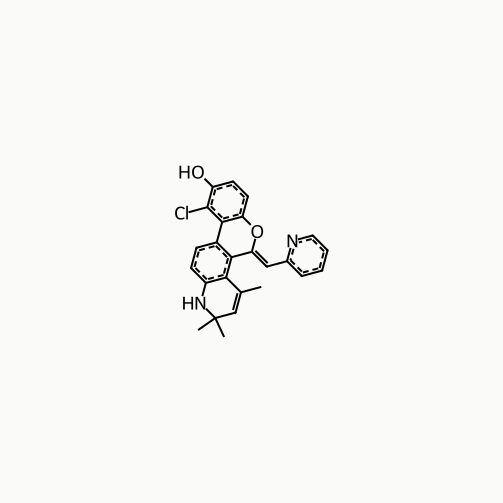 CC1=CC(C)(C)Nc2ccc3c(c21)C(=Cc1ccccn1)Oc1ccc(O)c(Cl)c1-3